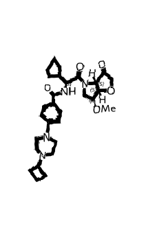 CO[C@@H]1CN(C(=O)[C@@H](NC(=O)c2ccc(N3CCN(C4CCC4)CC3)cc2)C2CCCC2)[C@@H]2C(=O)CO[C@@H]21